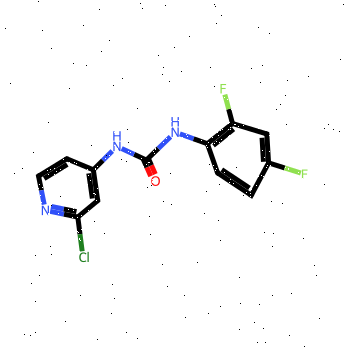 O=C(Nc1ccnc(Cl)c1)Nc1ccc(F)cc1F